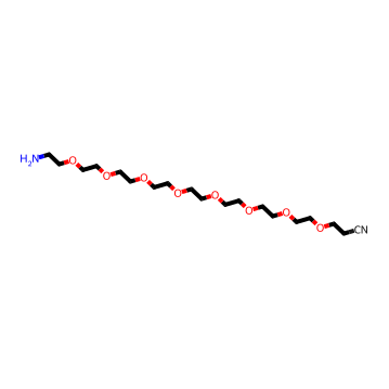 N#CCCOCCOCCOCCOCCOCCOCCOCCOCCN